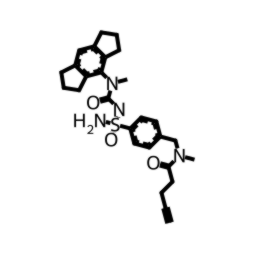 C#CCCC(=O)N(C)Cc1ccc(S(N)(=O)=NC(=O)N(C)c2c3c(cc4c2CCC4)CCC3)cc1